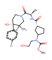 CC(C)[C@@H](NC(=O)[C@@H]1CCC(N(CCO)C(=O)OC(C)(C)C)C1)C(=O)N1CC[C@](O)(c2ccc(Cl)cc2)C(C)(C)C1